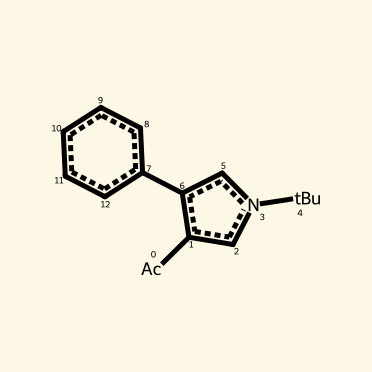 CC(=O)c1cn(C(C)(C)C)cc1-c1ccccc1